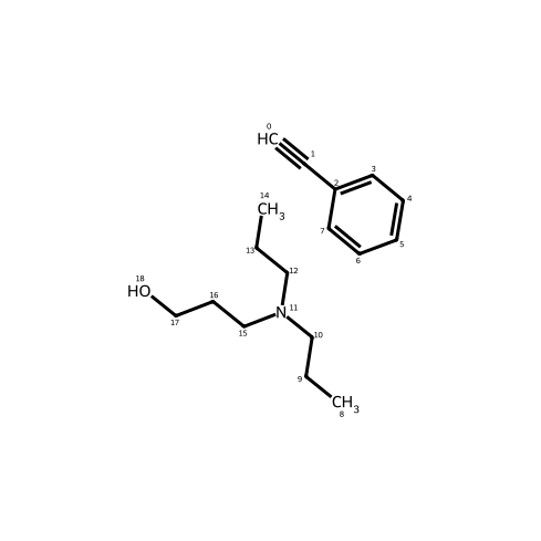 C#Cc1ccccc1.CCCN(CCC)CCCO